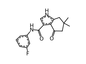 CC1(C)CC(=O)c2c(C(=O)Nc3cccc(F)c3)c[nH]c2C1